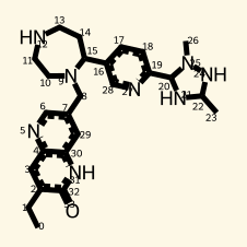 CCc1cc2ncc(CN3CCNCCC3c3ccc(C4NC(C)NN4C)nc3)cc2[nH]c1=O